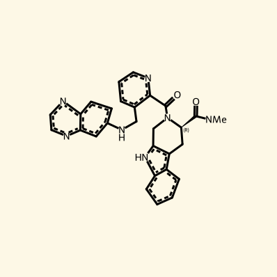 CNC(=O)[C@H]1Cc2c([nH]c3ccccc23)CN1C(=O)c1ncccc1CNc1ccc2nccnc2c1